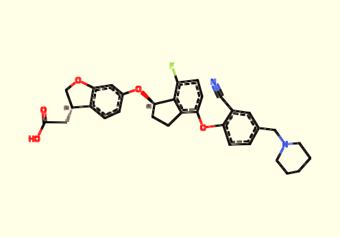 N#Cc1cc(CN2CCCCC2)ccc1Oc1ccc(F)c2c1CC[C@H]2Oc1ccc2c(c1)OC[C@H]2CC(=O)O